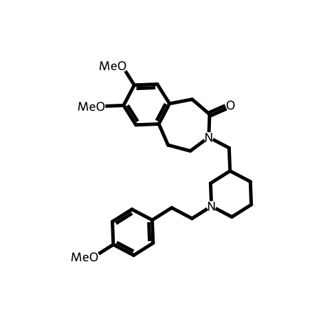 COc1ccc(CCN2CCCC(CN3CCc4cc(OC)c(OC)cc4CC3=O)C2)cc1